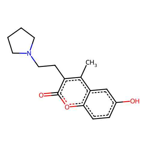 Cc1c(CCN2CCCC2)c(=O)oc2ccc(O)cc12